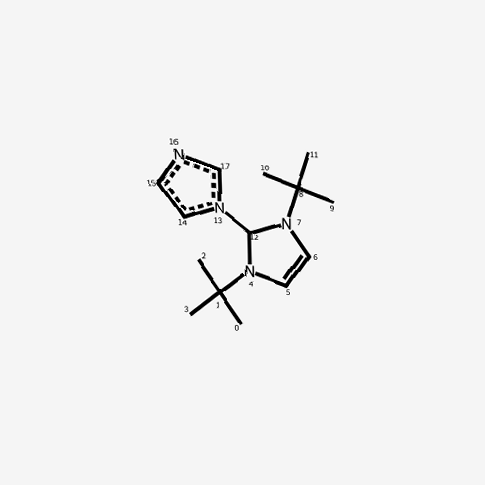 CC(C)(C)N1C=CN(C(C)(C)C)C1n1ccnc1